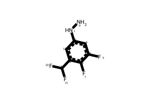 NNc1cc(F)c(F)c(C(F)F)c1